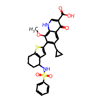 COc1c(-c2cc3c(s2)CCCC3NS(=O)(=O)c2ccccc2)c(C2CC2)cc2c(=O)c(C(=O)O)c[nH]c12